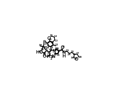 C=C(C)/C(=C(/c1cc(F)c2c(c1C)CCCO2)n1nc(C(=O)NCCCC2CCOC2)cc1N)[C@H](OC(C)(C)C)C(=O)O